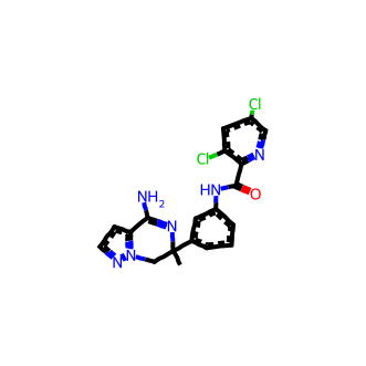 CC1(c2cccc(NC(=O)c3ncc(Cl)cc3Cl)c2)Cn2nccc2C(N)=N1